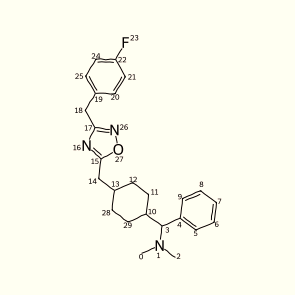 CN(C)C(c1ccccc1)C1CCC(Cc2nc(Cc3ccc(F)cc3)no2)CC1